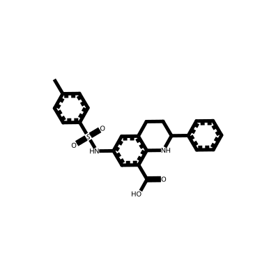 Cc1ccc(S(=O)(=O)Nc2cc3c(c(C(=O)O)c2)NC(c2ccccc2)CC3)cc1